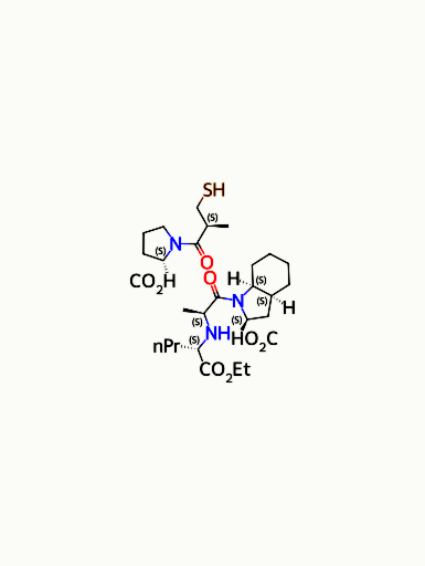 CCC[C@H](N[C@@H](C)C(=O)N1[C@H](C(=O)O)C[C@@H]2CCCC[C@@H]21)C(=O)OCC.C[C@H](CS)C(=O)N1CCC[C@H]1C(=O)O